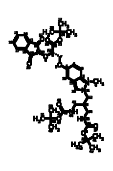 C[n+]1c2ccc(OC[C@H](ON3C(=O)c4ccccc4C3=O)C(=O)OC(C)(C)C)cc2cn1CC(CNC(=O)OC(C)(C)C)CNC(=O)OC(C)(C)C